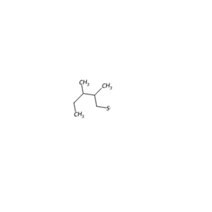 CCC(C)C(C)C[S]